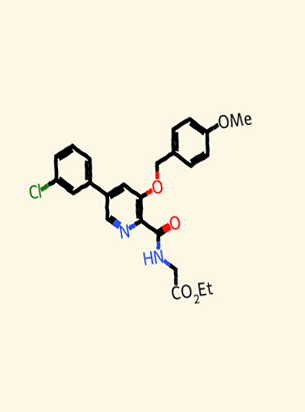 CCOC(=O)CNC(=O)c1ncc(-c2cccc(Cl)c2)cc1OCc1ccc(OC)cc1